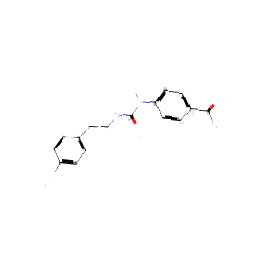 Cc1ccc(CCNC(=O)N(S)c2ccc(C(N)=O)cc2)cc1